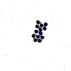 c1ccc(Oc2cc(N(c3ccccc3)c3ccccc3)cc(N(c3ccccc3)c3ccc4c5ccc(N(c6ccccc6)c6cc(Oc7ccccc7)cc(N(c7ccccc7)c7ccccc7)c6)cc5n(-c5ccccc5)c4c3)c2)cc1